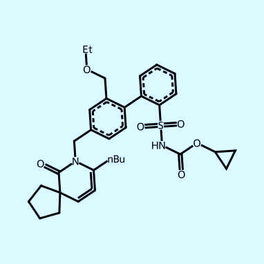 CCCCC1=C=CC2(CCCC2)C(=O)N1Cc1ccc(-c2ccccc2S(=O)(=O)NC(=O)OC2CC2)c(COCC)c1